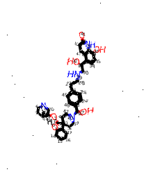 O=C(O[C@H]1CN2CCC1CC2)C1(c2ccccc2)CCN(C(O)c2ccc(CCNC[C@H](O)c3ccc(O)c4[nH]c(=O)ccc34)cc2)CC1